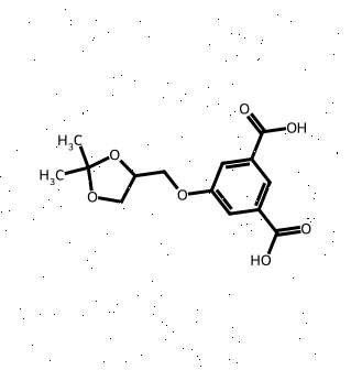 CC1(C)OCC(COc2cc(C(=O)O)cc(C(=O)O)c2)O1